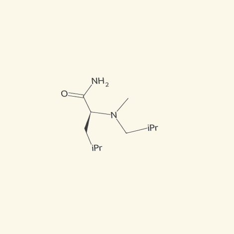 CC(C)C[C@@H](C(N)=O)N(C)CC(C)C